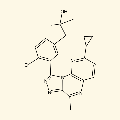 Cc1nc2ccc(C3CC3)nc2n2c(-c3cc(CC(C)(C)O)ccc3Cl)nnc12